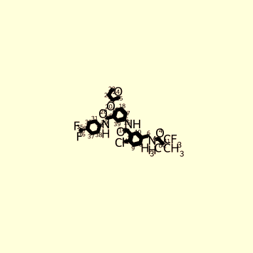 CC(C)(C(=O)NCc1ccc(Cl)c(C(=O)Nc2ccc(OC3CCOC3)c(C(=O)N[C@H]3CC[C@H](C(F)F)CC3)c2)c1)C(F)(F)F